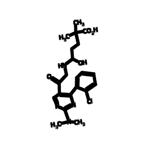 CN(C)c1ncc(C(=O)CNC(O)CCC(C)(C)C(=O)O)c(-c2ccccc2Cl)n1